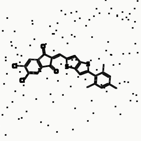 Cc1cc(C)c(-c2cc3sc(C=C4C(=O)c5cc(Cl)c(Cl)cc5C4=O)cc3s2)c(C)c1